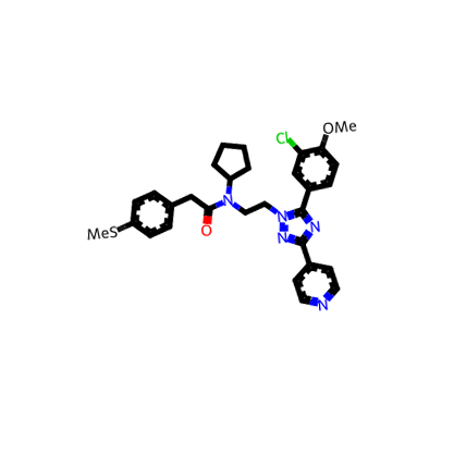 COc1ccc(-c2nc(-c3ccncc3)nn2CCN(C(=O)Cc2ccc(SC)cc2)C2CCCC2)cc1Cl